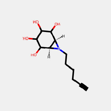 C#CCCCCN1[C@@H]2C(O)C(O)C(O)C(O)[C@@H]21